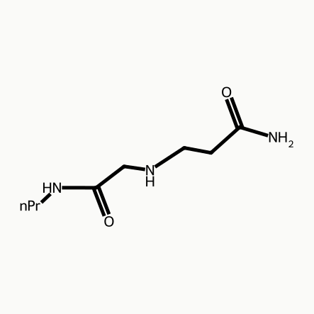 CCCNC(=O)CNCCC(N)=O